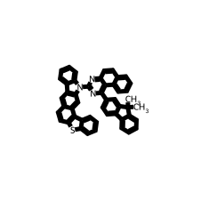 CC1(C)c2ccccc2-c2ccc(-c3nc(-n4c5ccccc5c5cc6ccc7sc8ccccc8c7c6cc54)nc4ccc5ccccc5c34)cc21